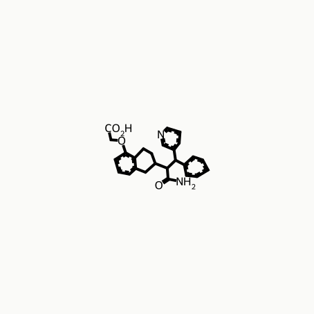 NC(=O)C(C1CCc2c(cccc2OCC(=O)O)C1)C(c1ccccc1)c1cccnc1